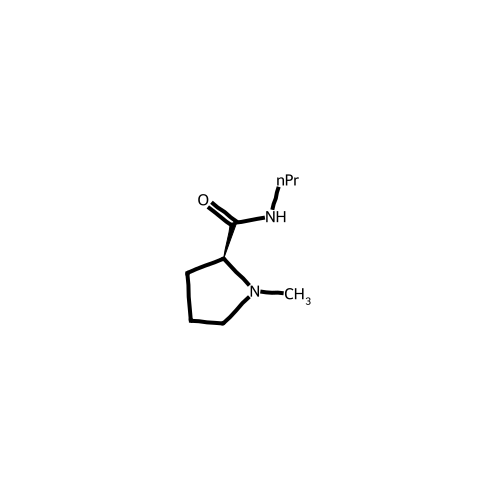 CCCNC(=O)[C@@H]1CCCN1C